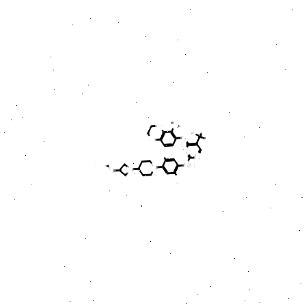 COc1cc(N2CCC(N3CC(N(C)C)C3)CC2)c(C)cc1Nc1ncc(C(F)(F)F)c(Nc2ccc3c(c2P(C)(C)=O)OCCO3)n1